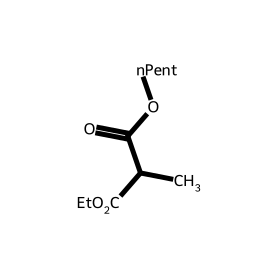 CCCCCOC(=O)C(C)C(=O)OCC